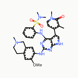 COc1cc2c(cc1Nc1nc(Nc3ccccc3S(=O)(=O)N(C)C)c3c(-c4ccn(C)c(=O)c4C)c[nH]c3n1)CN(C)CC2